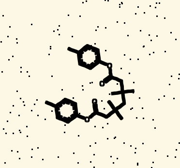 Cc1ccc(OC(=O)CC(C)(C)CC(C)(C)CC(=O)Oc2ccc(C)cc2)cc1